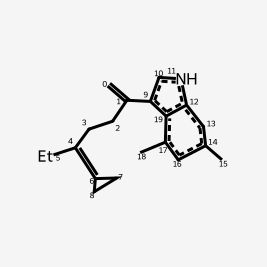 C=C(CCC(CC)=C1CC1)c1c[nH]c2cc(C)cc(C)c12